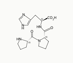 O=C(O)[C@H](Cc1c[nH]cn1)NC(=O)[C@@H]1CCCN1C(=O)[C@@H]1CCCN1